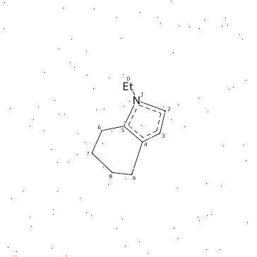 CCn1ccc2c1CCCC2